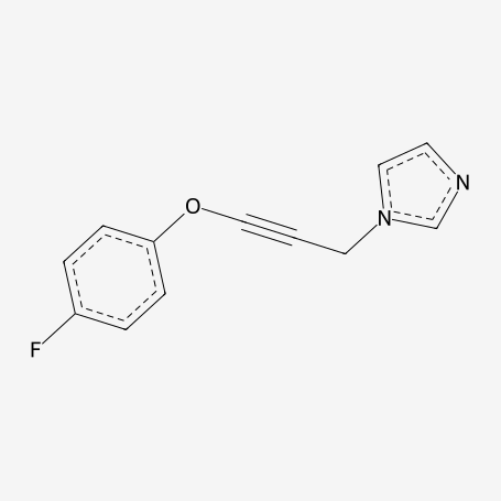 Fc1ccc(OC#CCn2ccnc2)cc1